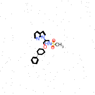 CS(=O)(=O)NCC(CO[C@H]1CC[C@@H](c2ccccc2)CC1)n1ccc2cccnc21